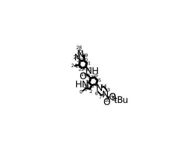 Cc1cc2c(N3CCN(C(=O)OC(C)(C)C)CC3)ccc(C(=O)Nc3cc(C)c4nn(C)cc4c3)c2[nH]1